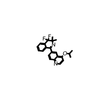 CC(C)Oc1ccnc2ccc(C3=NC(C)(C)C(F)(F)c4ccccc43)cc12